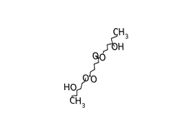 CCCC(O)CCCOC(=O)CCCCC(=O)OCCCC(O)CCC